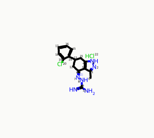 Cc1n[nH]c2c1/C(=N\NC(=N)N)CC(c1ccccc1Cl)C2.Cl